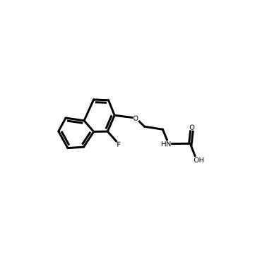 O=C(O)NCCOc1ccc2ccccc2c1F